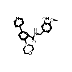 COc1ccc(CNC(=O)c2cc(-c3ccncc3)ccc2N2CCOCC2)cc1O